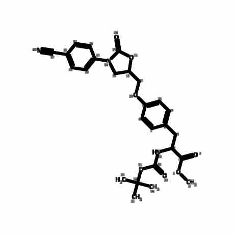 COC(=O)C(Cc1ccc(OCC2CN(c3ccc(C#N)cc3)C(=O)O2)cc1)NC(=O)OC(C)(C)C